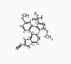 CCn1cc(-c2cc(CO)ccc2-c2cncc3sc(C#N)cc23)c(C(F)(F)F)n1